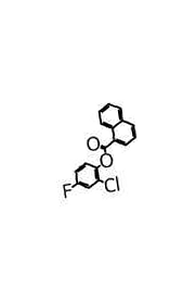 O=C(Oc1ccc(F)cc1Cl)c1cccc2ccccc12